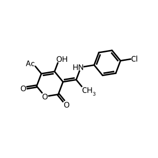 CC(=O)C1=C(O)C(=C(C)Nc2ccc(Cl)cc2)C(=O)OC1=O